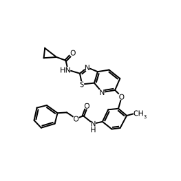 Cc1ccc(NC(=O)OCc2ccccc2)cc1Oc1ccc2nc(NC(=O)C3CC3)sc2n1